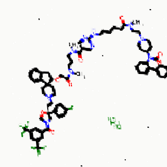 CN(CCN1CCC(N(C(=O)O)c2ccccc2-c2ccccc2)CC1)C(=O)CCCCCNc1ncc(C(=O)N(C)CCCN(C)C(=O)CO[C@H]2Cc3ccccc3C23CCN(CC[C@@]2(c4ccc(F)cc4)CN(C(=O)c4cc(C(F)(F)F)cc(C(F)(F)F)c4)CO2)CC3)cn1.Cl.Cl.Cl